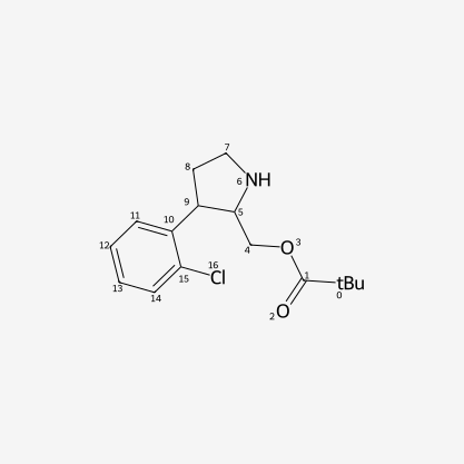 CC(C)(C)C(=O)OCC1NCCC1c1ccccc1Cl